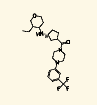 CCC1COCCC1N[C@@H]1CCC(C(=O)N2CCN(c3cccc(C(F)(F)F)c3)CC2)C1